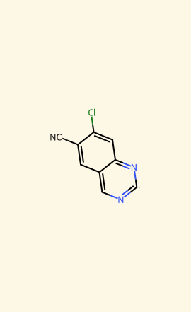 N#Cc1cc2cn[c]nc2cc1Cl